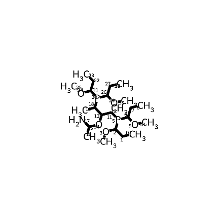 CCC(OC)P(C(CC)OC)C(C)C(OC(C)N)C(C)P(C(CC)OC)C(CC)OC